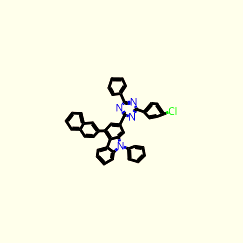 Clc1ccc(-c2nc(-c3ccccc3)nc(-c3cc(-c4ccc5ccccc5c4)c4c5ccccc5n(-c5ccccc5)c4c3)n2)cc1